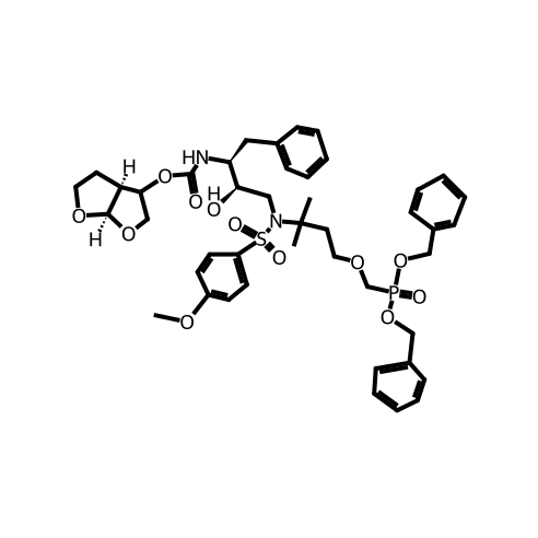 COc1ccc(S(=O)(=O)N(C[C@@H](O)[C@H](Cc2ccccc2)NC(=O)OC2CO[C@H]3OCC[C@@H]23)C(C)(C)CCOCP(=O)(OCc2ccccc2)OCc2ccccc2)cc1